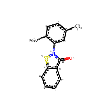 COc1ccc(C)cc1-n1sc2ccccc2c1=O